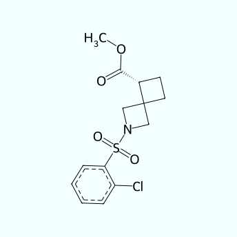 COC(=O)[C@@H]1CCC12CN(S(=O)(=O)c1ccccc1Cl)C2